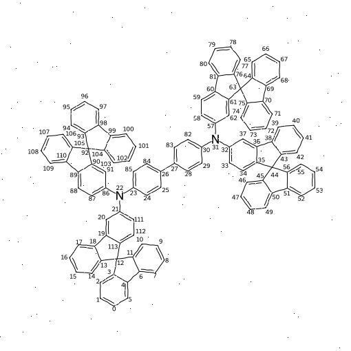 c1ccc2c(c1)-c1ccccc1C21c2ccccc2-c2cc(N(c3ccc(-c4ccc(N(c5ccc6c(c5)-c5ccccc5C65c6ccccc6-c6ccccc65)c5ccc6c(c5)C5(c7ccccc7-c7ccccc75)c5ccccc5-6)cc4)cc3)c3ccc4c(c3)C3(c5ccccc5-c5ccccc53)c3ccccc3-4)ccc21